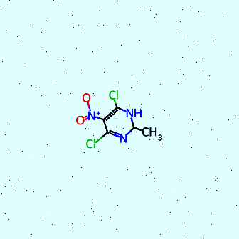 CC1N=C(Cl)C([N+](=O)[O-])=C(Cl)N1